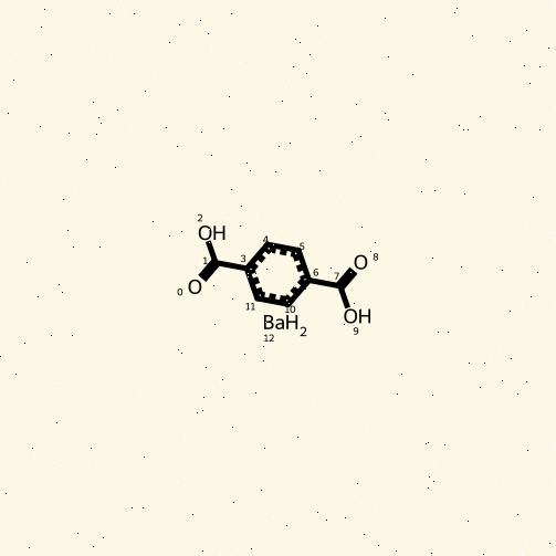 O=C(O)c1ccc(C(=O)O)cc1.[BaH2]